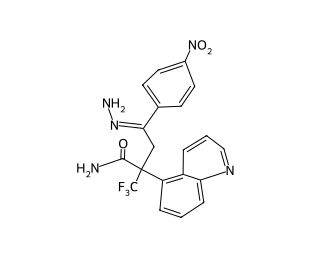 NN=C(CC(C(N)=O)(c1cccc2ncccc12)C(F)(F)F)c1ccc([N+](=O)[O-])cc1